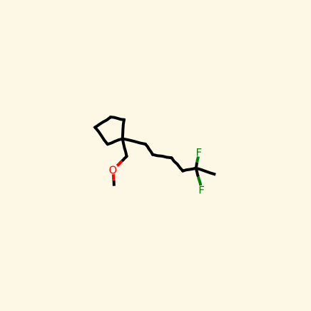 COCC1(CCCCC(C)(F)F)CCCC1